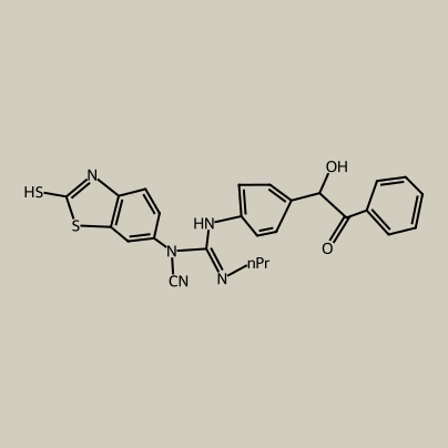 CCCN=C(Nc1ccc(C(O)C(=O)c2ccccc2)cc1)N(C#N)c1ccc2nc(S)sc2c1